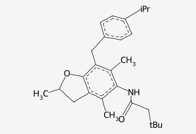 Cc1c(Cc2ccc(C(C)C)cc2)c2c(c(C)c1NC(=O)CC(C)(C)C)CC(C)O2